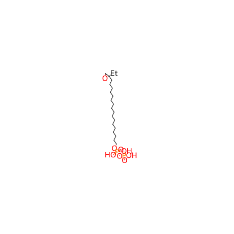 CCC1(CCCCCCCCCCCCCCCCCOP(=O)(O)OP(=O)(O)O)CO1